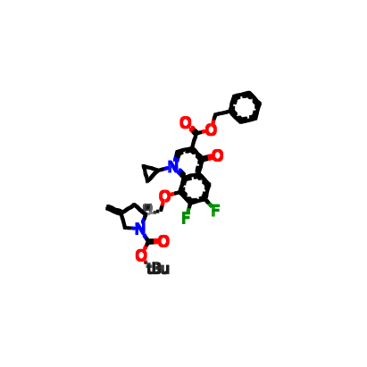 C=C1C[C@H](COc2c(F)c(F)cc3c(=O)c(C(=O)OCc4ccccc4)cn(C4CC4)c23)N(C(=O)OC(C)(C)C)C1